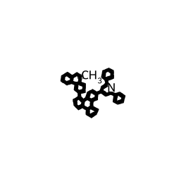 C[C@@H]1Cc2ccccc2-c2cc(-c3cccc4c5ccccc5c5cc(-c6cc(-c7ccccc7)nc(-c7ccccc7)c6)ccc5c34)ccc21